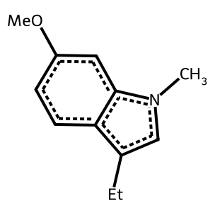 CCc1cn(C)c2cc(OC)ccc12